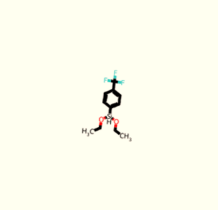 CCO[SiH](OCC)c1ccc(C(F)(F)F)cc1